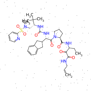 C=CCNC(=O)C(=O)C(CC)NC(=O)[C@@H]1CCCN1C(=O)[C@@H](NC(=O)N[C@H](CN(C)S(=O)(=O)c1ccccn1)C(C)(C)C)C1Cc2ccccc2C1